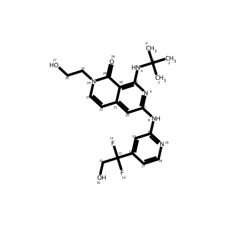 CC(C)(C)Nc1nc(Nc2cc(C(F)(F)CO)ccn2)cc2ccn(CCO)c(=O)c12